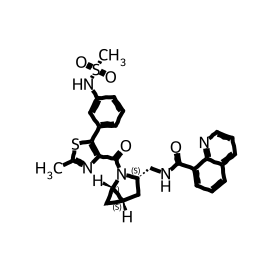 Cc1nc(C(=O)N2[C@H](CNC(=O)c3cccc4cccnc34)C[C@@H]3C[C@@H]32)c(-c2cccc(NS(C)(=O)=O)c2)s1